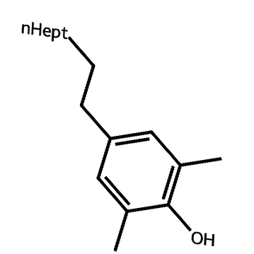 CCCCCCCCCc1cc(C)c(O)c(C)c1